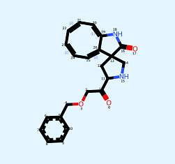 O=C(COCc1ccccc1)C1CC2(CN1)C(=O)NC1=C/C=C\C=C/C=C\12